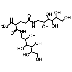 CC(C)(C)NC(CCC(=O)NCC(O)C(O)C(O)C(O)CO)C(=O)NCC(O)C(O)C(O)C(O)CO